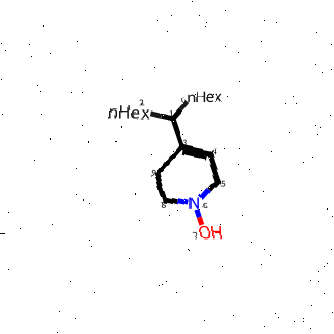 CCCCCCC(CCCCCC)C1=CCN(O)CC1